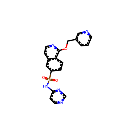 O=S(=O)(Nc1ccncn1)c1ccc2c(OCc3cccnc3)nccc2c1